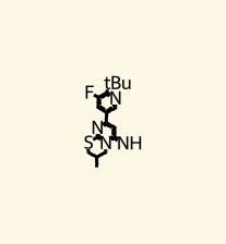 CC1CSc2nc(-c3cnc(C(C)(C)C)c(F)c3)cc(=N)n2C1